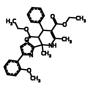 CCOC(=O)C1=C(C)NC(C)(c2nc(-c3ccccc3OC)cs2)C(C(=O)OCC)C1c1ccccc1